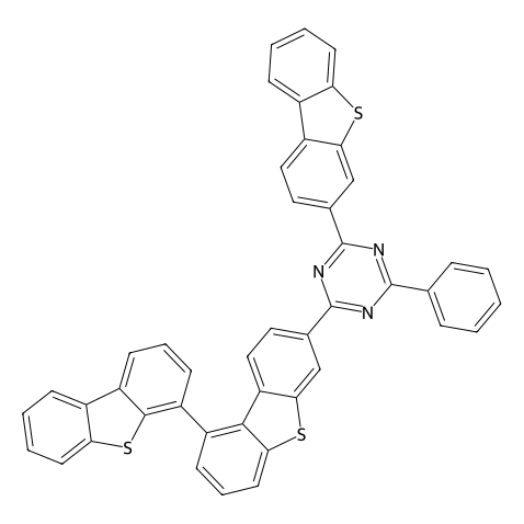 c1ccc(-c2nc(-c3ccc4c(c3)sc3ccccc34)nc(-c3ccc4c(c3)sc3cccc(-c5cccc6c5sc5ccccc56)c34)n2)cc1